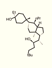 CCC[C@H]1[C@@H]2CC[C@H]([C@H](C)[C@H](O)CCC(C)(C)C)[C@@]2(C)CC[C@@H]1[C@]1(C)CC[C@](O)(CC)CC1